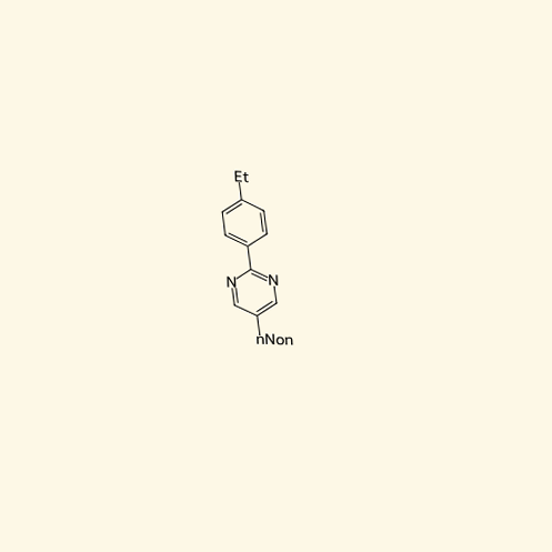 CCCCCCCCCc1cnc(-c2ccc(CC)cc2)nc1